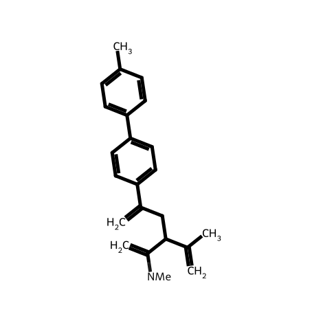 C=C(CC(C(=C)C)C(=C)NC)c1ccc(-c2ccc(C)cc2)cc1